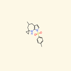 Cc1ccc(S(=O)(=O)n2ccc3c2NC2(CC2)CC(C)C3)cc1